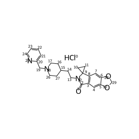 Cl.O=C1c2cc3c(cc2C2(CC2)N1CCC1CCN(Cc2ccccn2)CC1)OCO3